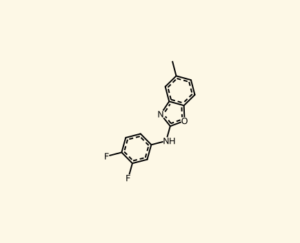 Cc1ccc2oc(Nc3ccc(F)c(F)c3)nc2c1